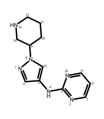 c1cnc(Nc2cnn(C3CCCNC3)c2)nc1